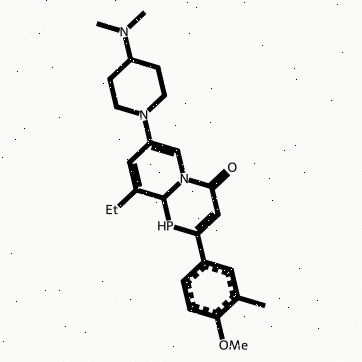 CCC1=CC(N2CCC(N(C)C)CC2)=CN2C(=O)C=C(c3ccc(OC)c(C)c3)PC12